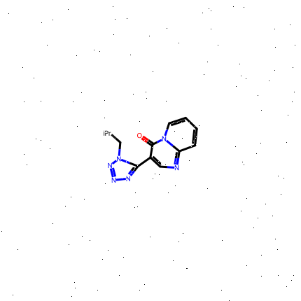 CC(C)Cn1nnnc1-c1cnc2ccccn2c1=O